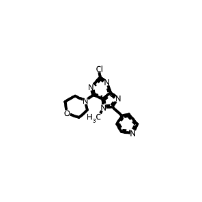 Cn1c(-c2ccncc2)nc2nc(Cl)nc(N3CCOCC3)c21